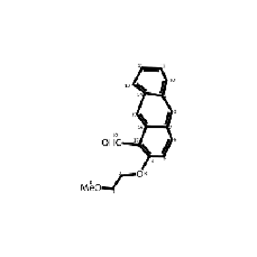 COCCOc1ccc2cc3ccccc3cc2c1C=O